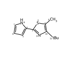 Cc1sc(-c2ccc[nH]2)nc1C(C)(C)C